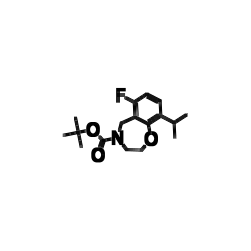 CC(C)c1ccc(F)c2c1OCCN(C(=O)OC(C)(C)C)C2